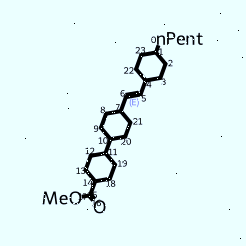 CCCCCC1CCC(/C=C/C2CCC(C3CCC(C(=O)OC)CC3)CC2)CC1